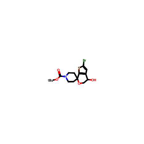 CC(C)(C)OC(=O)N1CCC2(CC1)OCC(O)c1cc(Br)sc12